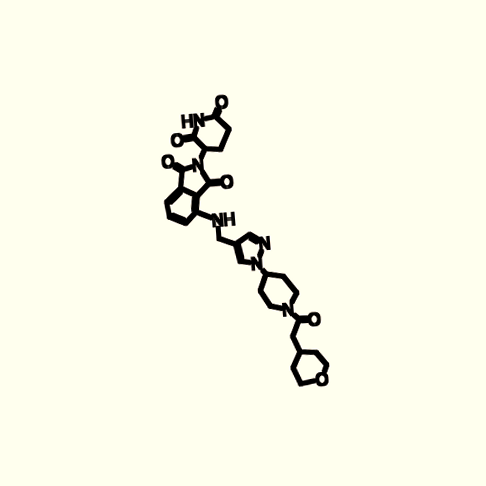 O=C1CCC(N2C(=O)c3cccc(NCc4cnn(C5CCN(C(=O)CC6CCOCC6)CC5)c4)c3C2=O)C(=O)N1